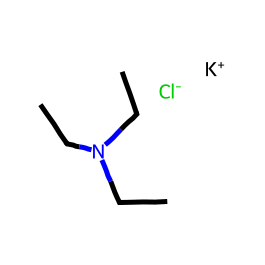 CCN(CC)CC.[Cl-].[K+]